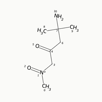 C[N+](=O)CC(=O)CC(C)(C)N